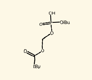 CC(C)COP(=O)(O)OCOC(=O)C(C)(C)C